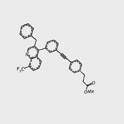 COC(=O)CCc1ccc(C#Cc2cccc(-c3c(Cc4ccccc4)cnc4c(C(F)(F)F)cccc34)c2)cc1